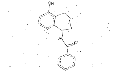 O=C(NC1CCCc2c(O)cccc21)c1ccccc1